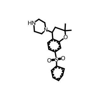 CC1(C)CC(N2CCNCC2)c2ccc(S(=O)(=O)c3ccccc3)cc2O1